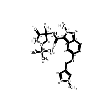 Cn1cc(COc2ccc3nn(C)c(C(=O)NC(C)(CO[Si](C)(C)C(C)(C)C)C(N)=O)c3c2)cn1